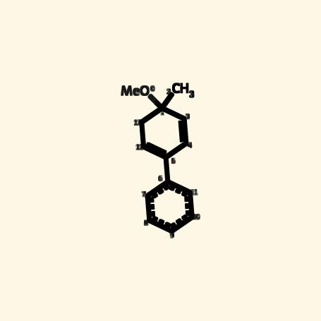 COC1(C)C=CC(c2ccccc2)=CC1